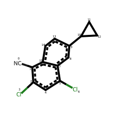 N#Cc1c(Cl)cc(Cl)c2cc(C3CC3)ccc12